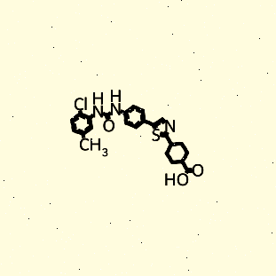 Cc1ccc(Cl)c(NC(=O)Nc2ccc(-c3cnc(C4CCC(C(=O)O)CC4)s3)cc2)c1